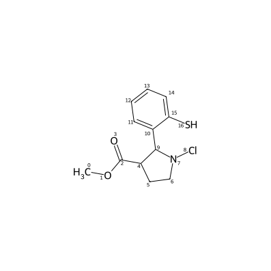 COC(=O)C1CCN(Cl)C1c1ccccc1S